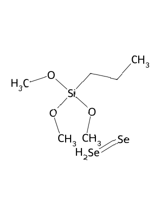 CCC[Si](OC)(OC)OC.[Se]=[SeH2]